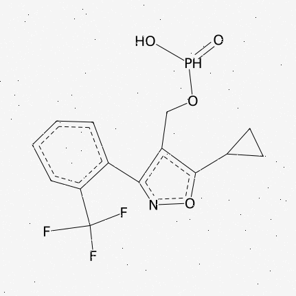 O=[PH](O)OCc1c(-c2ccccc2C(F)(F)F)noc1C1CC1